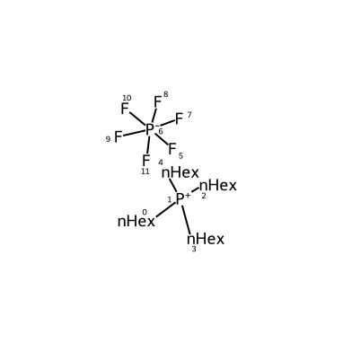 CCCCCC[P+](CCCCCC)(CCCCCC)CCCCCC.F[P-](F)(F)(F)(F)F